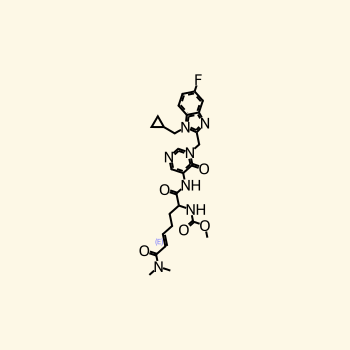 COC(=O)NC(CC/C=C/C(=O)N(C)C)C(=O)Nc1cncn(Cc2nc3cc(F)ccc3n2CC2CC2)c1=O